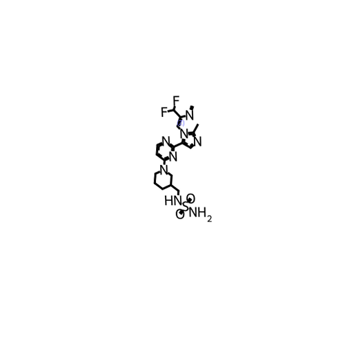 C=N/C(=C\n1c(-c2nccc(N3CCCC(CNS(N)(=O)=O)C3)n2)cnc1C)C(F)F